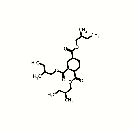 CCC(C)COC(=O)C1CCC(C(=O)OCC(C)CC)C(C(=O)OCC(C)CC)C1